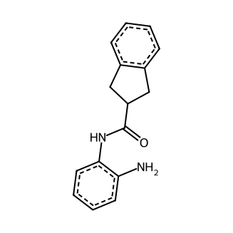 Nc1ccccc1NC(=O)C1Cc2ccccc2C1